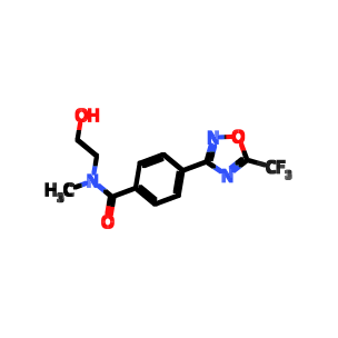 CN(CCO)C(=O)c1ccc(-c2noc(C(F)(F)F)n2)cc1